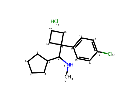 CNC(C1CCCC1)C1(c2ccc(Cl)cc2)CCC1.Cl